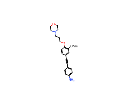 COc1cc(C#Cc2ccc(N)cc2)ccc1OCCCN1CCOCC1